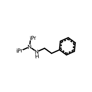 CC(C)N(NCCc1ccccc1)C(C)C